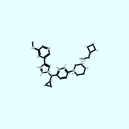 COc1cncc(-c2cn(C(c3ccc(N4CCC[C@@H](NCC5CCC5)C4)nn3)C3CC3)nn2)c1